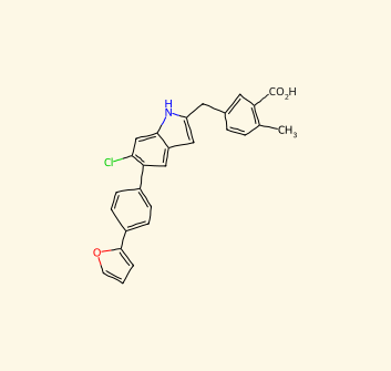 Cc1ccc(Cc2cc3cc(-c4ccc(-c5ccco5)cc4)c(Cl)cc3[nH]2)cc1C(=O)O